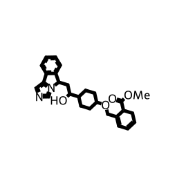 COC(=O)C1CC=CC=C1COC1CCC(C(O)CC2c3ccccc3-c3cncn32)CC1